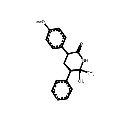 COc1ccc(C2CC(c3ccccc3)C(C)(C)NC2=O)cc1